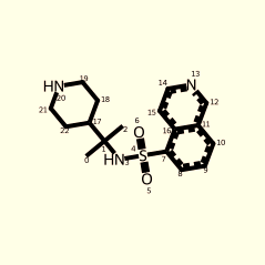 CC(C)(NS(=O)(=O)c1cccc2cnccc12)C1CCNCC1